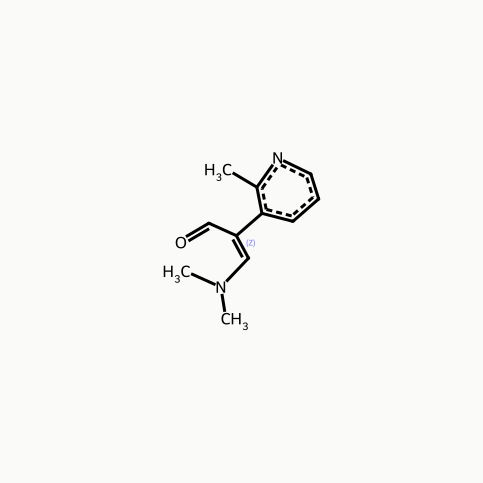 Cc1ncccc1/C(C=O)=C/N(C)C